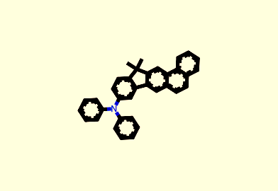 CC1(C)c2ccc(N(c3ccccc3)c3ccccc3)cc2-c2cc3ccc4ccccc4c3cc21